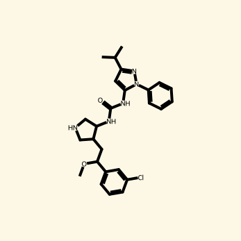 COC(CC1CNCC1NC(=O)Nc1cc(C(C)C)nn1-c1ccccc1)c1cccc(Cl)c1